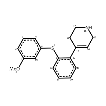 COc1cccc(Sc2ccccc2C2=CCNCC2)c1